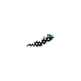 CCCCCc1ccc2cc(-c3ccc(-c4ccc(C(F)(F)F)c(F)c4)c(F)c3)ccc2c1